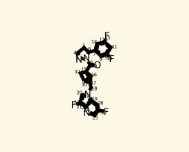 O=C(N1N=CCC1c1cc(F)cc(F)c1)C12CC(Cn3cc(F)c4ncc(F)cc43)C(C1)C2